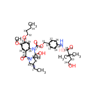 C/C=C1\C[C@H]2[C@H](O)N(C(=O)OCc3ccc(NBC(=O)C(C)(C)CCO)cc3)c3cc(OCCCC)c(OC)cc3C(=O)N2C1